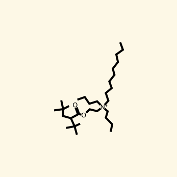 CCCCCCCCCC[N+](CCCC)(CCCC)CCOC(=O)C(CC(C)(C)C)C(C)(C)C